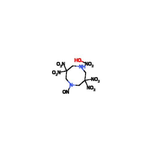 O=NN1CC([N+](=O)[O-])([N+](=O)[O-])CNCC([N+](=O)[O-])([N+](=O)[O-])C1.O=[N+]([O-])O